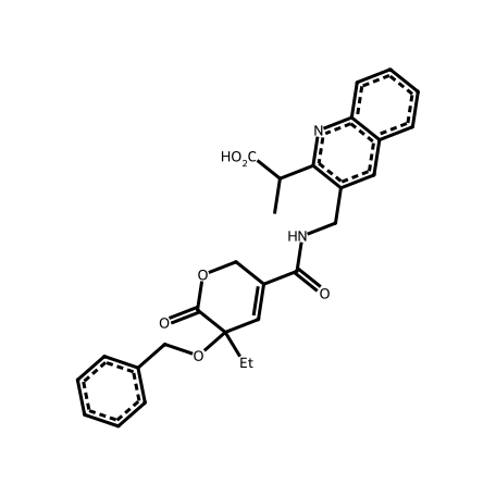 CCC1(OCc2ccccc2)C=C(C(=O)NCc2cc3ccccc3nc2C(C)C(=O)O)COC1=O